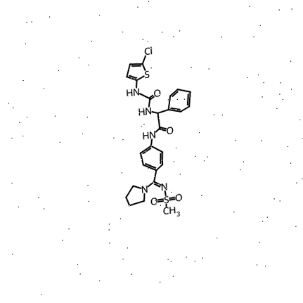 CS(=O)(=O)N=C(c1ccc(NC(=O)C(NC(=O)Nc2ccc(Cl)s2)c2ccccc2)cc1)N1CCCC1